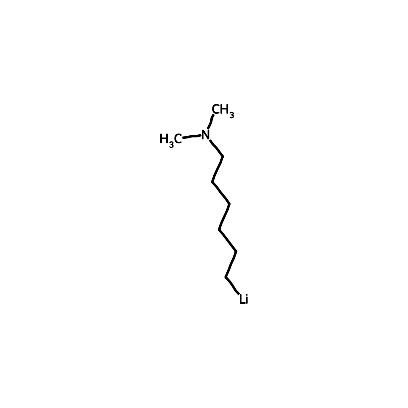 [Li][CH2]CCCCCN(C)C